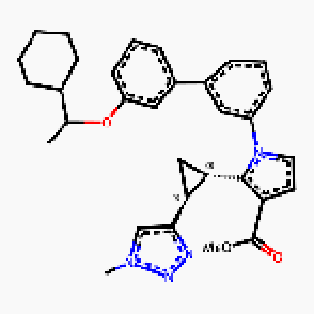 COC(=O)c1ccn(-c2cccc(-c3cccc(OC(C)C4CCCCC4)c3)c2)c1[C@H]1C[C@@H]1c1cn(C)nn1